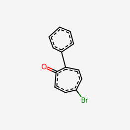 O=c1ccc(Br)ccc1-c1ccccc1